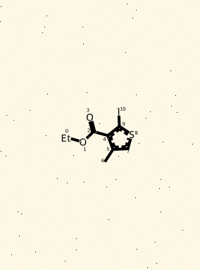 CCOC(=O)c1c(C)csc1I